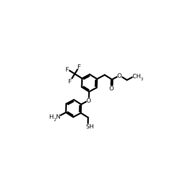 CCOC(=O)Cc1cc(Oc2ccc(N)cc2CS)cc(C(F)(F)F)c1